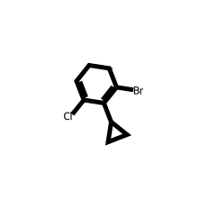 ClC1=CC[CH]C(Br)=C1C1CC1